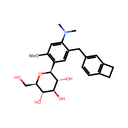 COc1cc(N(C)C)c(Cc2ccc3c(c2)CC3)cc1[C@@H]1O[C@H](CO)[C@@H](O)[C@H](O)[C@H]1O